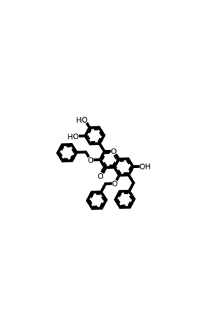 O=c1c(OCc2ccccc2)c(-c2ccc(O)c(O)c2)oc2cc(O)c(Cc3ccccc3)c(OCc3ccccc3)c12